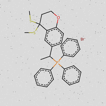 CSC1(SC)CCOc2ccc(C(C)[P+](c3ccccc3)(c3ccccc3)c3ccccc3)cc21.[Br-]